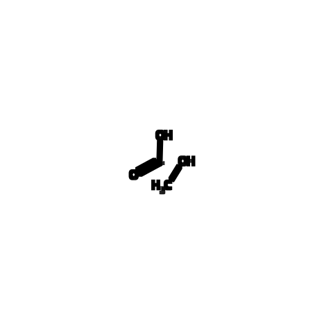 CO.O=[C]O